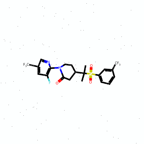 CC(C)(C1CCN(c2ncc(C(F)(F)F)cc2F)C(=O)C1)S(=O)(=O)c1cccc(C(F)(F)F)c1